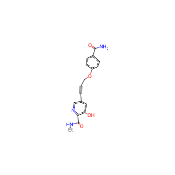 CCNC(=O)c1ncc(C#CCOc2ccc(C(N)=O)cc2)cc1O